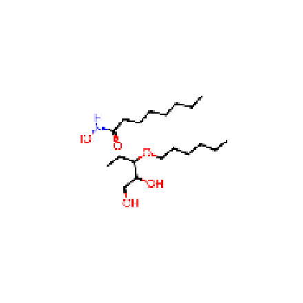 CCCCCCCC(=O)NO.CCCCCCOC(CC)C(O)CO